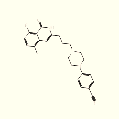 Cc1ccc(F)c2c(=O)[nH]c(CCCN3CCN(c4ccc(C#N)cc4)CC3)cc12